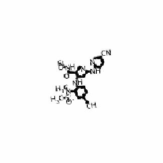 C#Cc1ccc(Nc2cc(Nc3ccc(C#N)cn3)ncc2C(=O)NOCC)c(N(C)[S+](C)[O-])c1